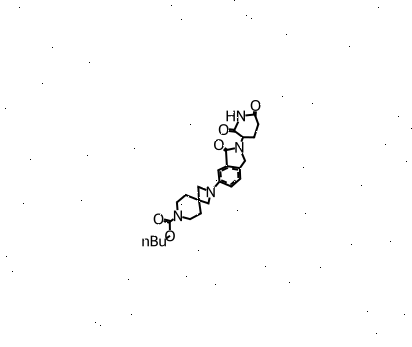 CCCCOC(=O)N1CCC2(CC1)CN(c1ccc3c(c1)C(=O)N(C1CCC(=O)NC1=O)C3)C2